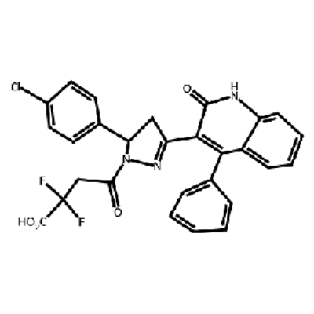 O=C(CC(F)(F)C(=O)O)N1N=C(c2c(-c3ccccc3)c3ccccc3[nH]c2=O)CC1c1ccc(Cl)cc1